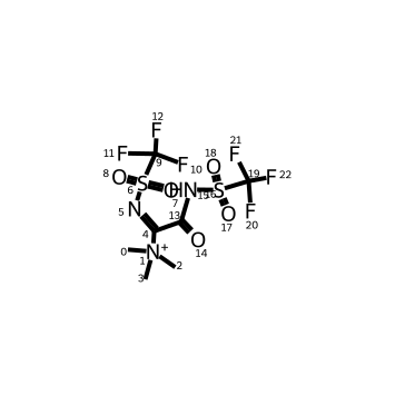 C[N+](C)(C)C(=NS(=O)(=O)C(F)(F)F)C(=O)NS(=O)(=O)C(F)(F)F